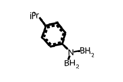 BN(B)c1ccc(C(C)C)cc1